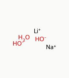 O.[Li+].[Na+].[OH-].[OH-]